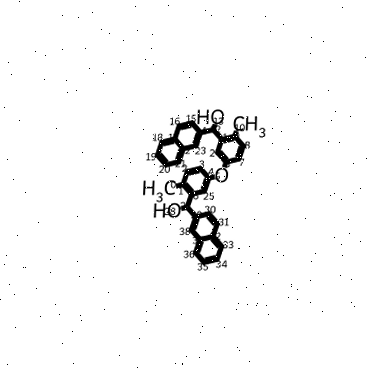 Cc1ccc(Oc2ccc(C)c(C(O)c3ccc4ccccc4c3)c2)cc1C(O)c1ccc2ccccc2c1